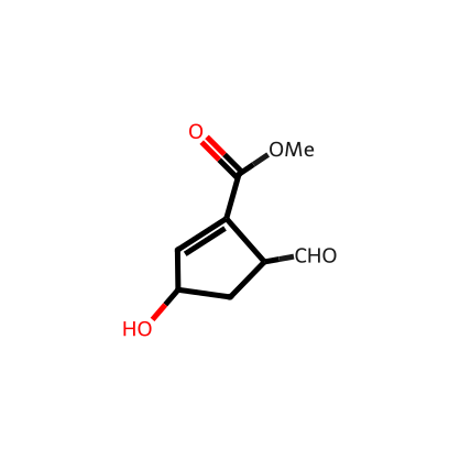 COC(=O)C1=CC(O)CC1C=O